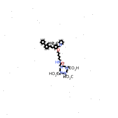 Cc1c(/C=C/c2cc(OCCCCCCNC(=O)CN3CCN(CC(=O)O)CCN(CC(=O)O)CN(CC(=O)O)CC3)c(CN3CCCC[C@H]3C(=O)O)cc2C(F)(F)F)cccc1-c1ccccc1